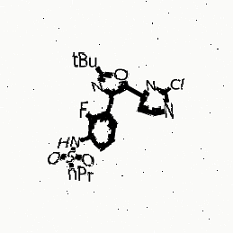 CCCS(=O)(=O)Nc1cccc(-c2nc(C(C)(C)C)oc2-c2ccnc(Cl)n2)c1F